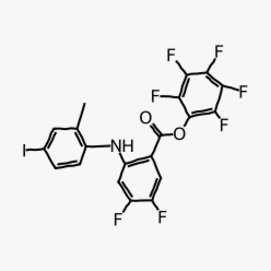 Cc1cc(I)ccc1Nc1cc(F)c(F)cc1C(=O)Oc1c(F)c(F)c(F)c(F)c1F